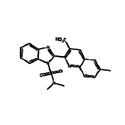 Cc1ccc2nc(-c3nc4ccccc4n3S(=O)(=O)N(C)C)c(C(=O)O)cc2c1